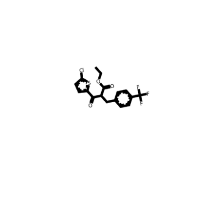 CCOC(=O)C(Cc1ccc(C(F)(F)F)cc1)C(=O)c1ccc(Cl)s1